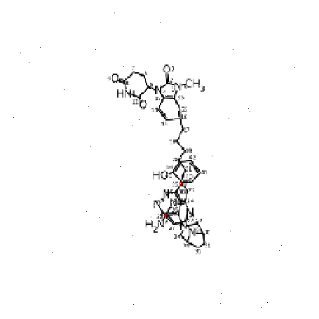 Cn1c(=O)n(C2CCC(=O)NC2=O)c2ccc(CCCCCCCc3nccc(N4C5CCC4CN(c4cc(-c6ccccc6O)nnc4N)C5)n3)cc21